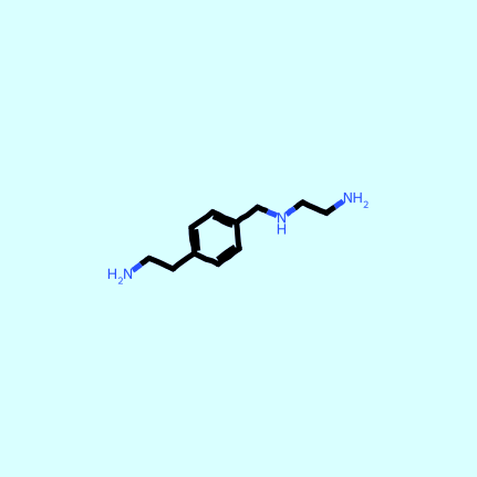 NCCNCc1ccc(CCN)cc1